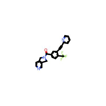 O=C(c1ccc(C(F)(F)F)c(C#Cc2ccccn2)c1)N1Cc2ccncc2C1